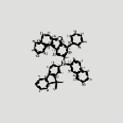 CC1(C)c2ccccc2-c2ccc(N(c3ccc4ccccc4c3)c3cc(-c4ccccc4)c4oc5ccc6ccccc6c5c4c3)cc21